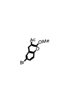 COC1=C(C(C)=O)Cc2cc(Br)ccc2O1